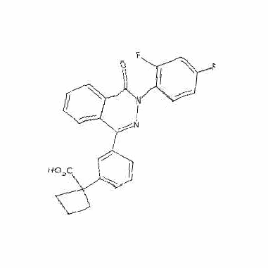 O=C(O)C1(c2cccc(-c3nn(-c4ccc(F)cc4F)c(=O)c4ccccc34)c2)CCC1